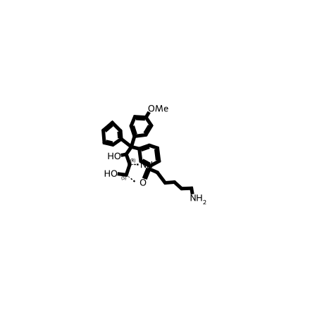 COc1ccc(C(c2ccccc2)(c2ccccc2)C(O)[C@H](NC(=O)CCCCCN)[C@H](C)O)cc1